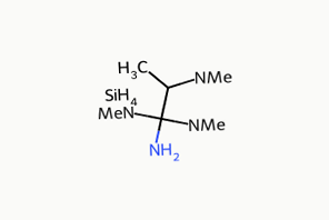 CNC(C)C(N)(NC)NC.[SiH4]